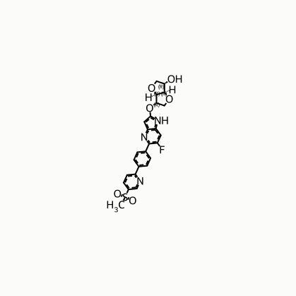 CS(=O)(=O)c1ccc(-c2ccc(-c3nc4cc(O[C@@H]5CO[C@H]6[C@@H]5OC[C@H]6O)[nH]c4cc3F)cc2)nc1